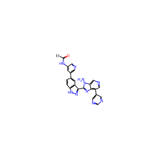 CCC(=O)Nc1cncc(-c2ccc3[nH]nc(-c4nc5c(-c6cncnc6)cncc5n4N)c3c2)c1